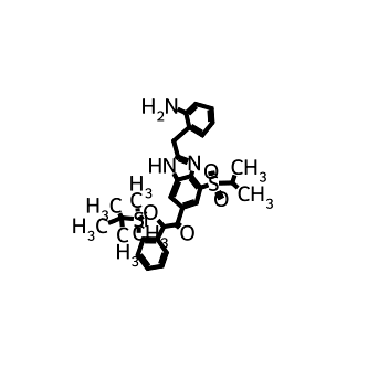 CC(C)S(=O)(=O)c1cc(C(=O)C(O[Si](C)(C)C(C)(C)C)c2ccccc2)cc2[nH]c(Cc3ccccc3N)nc12